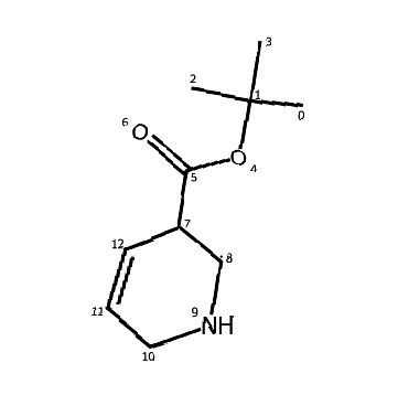 CC(C)(C)OC(=O)C1[CH]NCC=C1